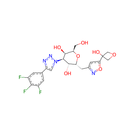 OC[C@H]1O[C@H](Cc2cc(C3(O)COC3)on2)[C@H](O)[C@@H](n2cc(-c3cc(F)c(F)c(F)c3)nn2)[C@H]1O